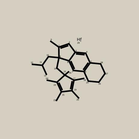 CC1=Cc2cc3c(cc2C1(CC(C)C)CC1(C)C(C)=C(C)C(C)=C1C)CCCC3.[Hf]